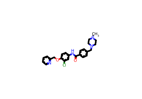 CN1CCN(Cc2ccc(C(=O)Nc3ccc(OCc4ccccn4)c(Cl)c3)cc2)CC1